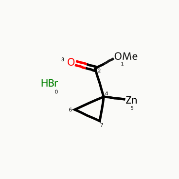 Br.COC(=O)[C]1([Zn])CC1